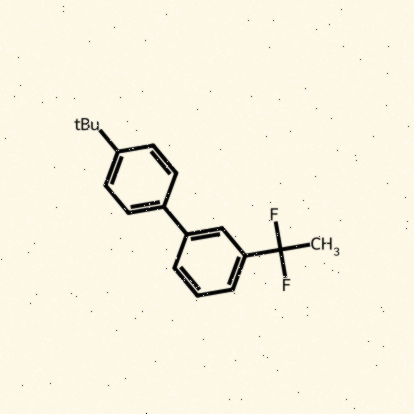 CC(C)(C)c1ccc(-c2cccc(C(C)(F)F)c2)cc1